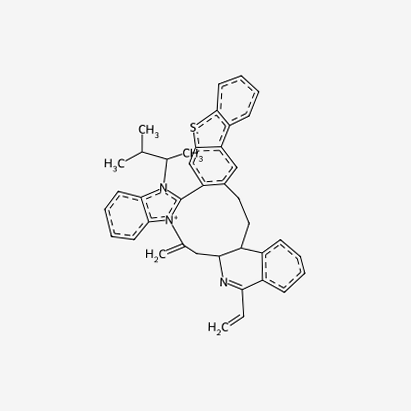 C=CC1=NC2CC(=C)[n+]3c(n(C(C)C(C)C)c4ccccc43)-c3cc4sc5ccccc5c4cc3CCC2c2ccccc21